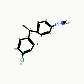 [C-]#[N+]c1ccc([C@H](C)c2ccc(Cl)cc2)cc1